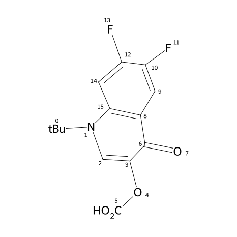 CC(C)(C)n1cc(OC(=O)O)c(=O)c2cc(F)c(F)cc21